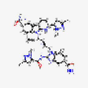 CCn1nc(C)cc1C(=O)Nc1nc2cc(C(N)=O)cc(C)c2n1C/C=C/Cn1c2nc(-c3cc(C)nn3CC)ccc2c2cc(C(N)=O)cc(OC)c21